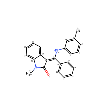 CN1C(=O)C(=C(Nc2cccc(C#N)c2)c2ccccc2)c2ccccc21